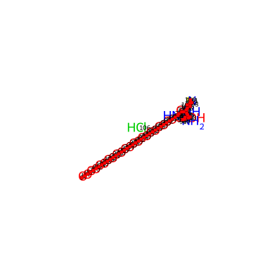 COCCOCCOCCOCCOCCOCCOCCOCCOCCOCCOCCOCCOCCOCCOCCOCCOCCOCCOCCOCCOCCOCCNC(=O)CCC(=O)OCC(NC(=O)[C@@H]1C[C@@H](O)CN1C(=O)[C@@H](N)C(C)(C)C)c1ccc(-c2scnc2C)cc1.Cl